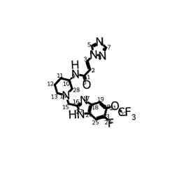 O=C(/C=C/n1cncn1)N[C@@H]1CCCN(Cc2nc3cc(OC(F)(F)F)c(F)cc3[nH]2)C1